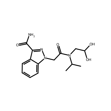 CC(C)N(CC(O)O)C(=O)Cn1nc(C(N)=O)c2ccccc21